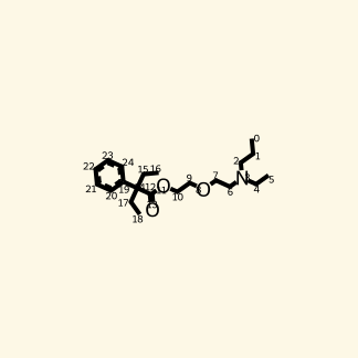 CCCN(CC)CCOCCOC(=O)C(CC)(CC)c1ccccc1